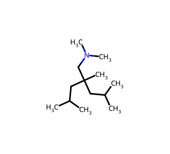 CC(C)CC(C)(CC(C)C)CN(C)C